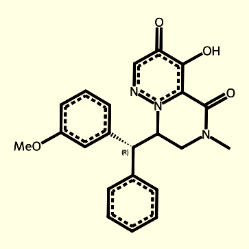 COc1cccc([C@@H](c2ccccc2)C2CN(C)C(=O)c3c(O)c(=O)cnn32)c1